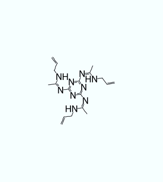 C=CCNC(C)=Nc1nc(N=C(C)NCC=C)nc(N=C(C)NCC=C)n1